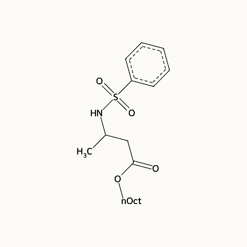 CCCCCCCCOC(=O)CC(C)NS(=O)(=O)c1ccccc1